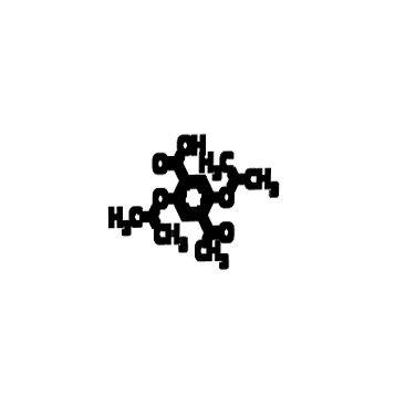 CC(=O)c1cc(OC(C)C)c(C(=O)O)cc1OC(C)C